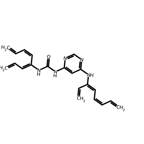 C=C/C=C\C=C(/C=C)Nc1cc(NC(=O)NC(/C=C\C=C)=C/C=C)ncn1